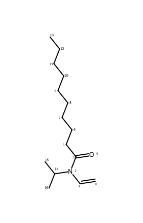 C=CN(C(=O)CCCCCCCCC)C(C)C